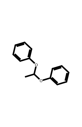 CC(Oc1ccccc1)Oc1ccccc1